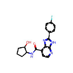 O=C(NC1CCCC1O)c1ccnc2[nH]c(-c3ccc(F)cc3)nc12